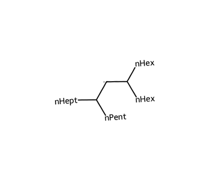 CCCCCCCC([CH]C(CCCCCC)CCCCCC)CCCCC